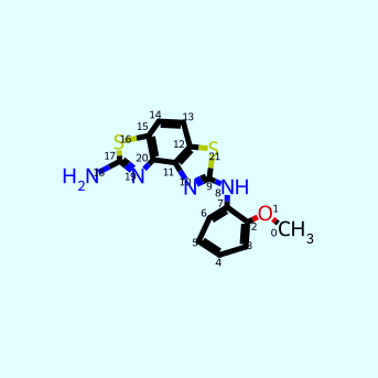 COc1ccccc1Nc1nc2c(ccc3sc(N)nc32)s1